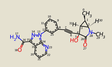 C[C@H]1[C@@H]2[C@H]1[C@@](O)(C#Cc1cccc(-n3nc(C(N)=O)c4cccnc43)c1)C(=O)N2C